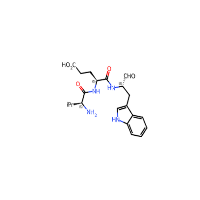 CC(C)[C@H](N)C(=O)N[C@@H](CCC(=O)O)C(=O)N[C@H]([C]=O)Cc1c[nH]c2ccccc12